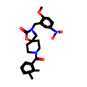 COc1ccc([N+](=O)[O-])cc1CN1CC2(CCN(C(=O)c3cccc(C)c3C)CC2)OC1=O